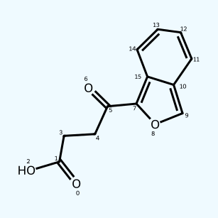 O=C(O)CCC(=O)c1occ2ccccc12